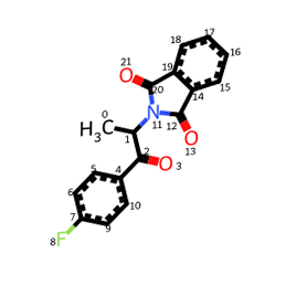 CC(C(=O)c1ccc(F)cc1)N1C(=O)c2ccccc2C1=O